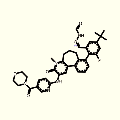 Cn1c2c(cc(Nc3ccc(C(=O)N4CCOCC4)cn3)c1=O)-c1cccc(-c3c(F)cc(C(C)(C)C)cc3/C=N\NC=O)c1CCC2